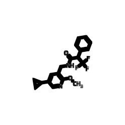 COc1ncc(C2CC2)cc1CNC(=O)C(c1ccccc1)C(F)(F)F